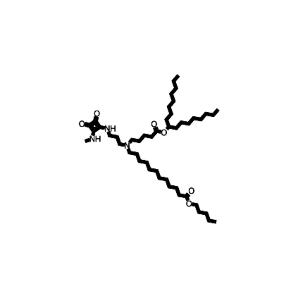 CCCCCCCCC(CCCCCCCC)OC(=O)CCCCN(CCCCCCCCCCCC(=O)OCCCCC)CCCNc1c(NC)c(=O)c1=O